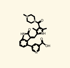 Cc1[nH]c(/C=C2\C(=O)Nc3cccc(-c4cncc(C(=O)O)c4)c32)c(C)c1C(=O)N1CCN(C)CC1